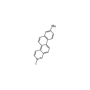 CC(C)(C)c1ccc2c(ccc3c4cc[n+](I)cc4ccc23)c1